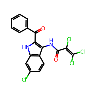 O=C(Nc1c(C(=O)c2ccccc2)[nH]c2cc(Cl)ccc12)C(Cl)=C(Cl)Cl